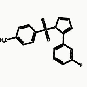 Cc1ccc(S(=O)(=O)n2cccc2-c2cccc(F)c2)cc1